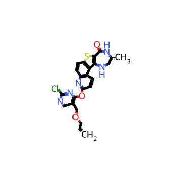 C=CCOCc1cnc(Cl)nc1Oc1ccc2c(ccc3sc4c(c32)NC[C@@H](C)NC4=O)n1